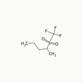 CCCC(C)S(=O)(=O)C(F)(F)F